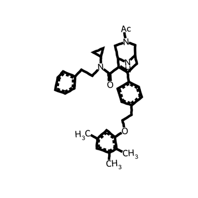 CC(=O)N1CC2CC(c3ccc(CCOc4cc(C)cc(C)c4C)cc3)=C(C(=O)N(CCc3ccccc3)C3CC3)C(C1)N2